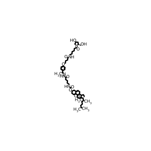 C/C(=N\NC(=O)CCCCNC(=O)O[C@H]1CC[C@@]2(C)C(=CCC3C2CC[C@@]2(C)C3CC[C@@H]2[C@H](C)CCCC(C)C)C1)c1ccc(OCCCC(=O)NCCCCCC(=O)N2C[C@H](O)C[C@H]2CO)cc1